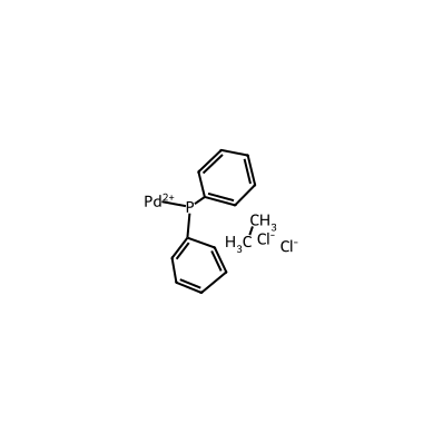 CC.[Cl-].[Cl-].[Pd+2][P](c1ccccc1)c1ccccc1